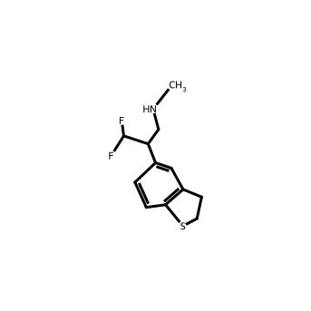 CNCC(c1ccc2c(c1)CCS2)C(F)F